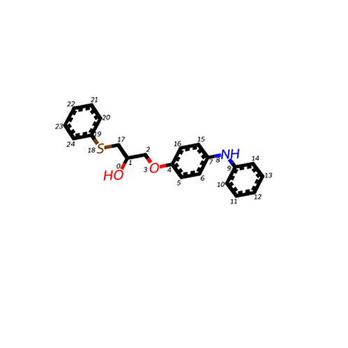 OC(COc1ccc(Nc2ccccc2)cc1)CSc1ccccc1